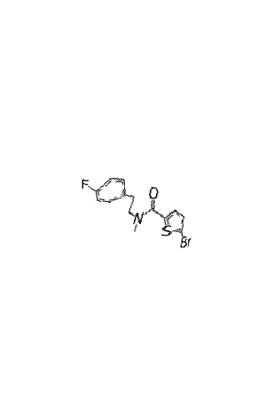 CN(CCc1ccc(F)cc1)C(=O)c1ccc(Br)s1